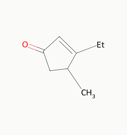 CCC1=CC(=O)CC1C